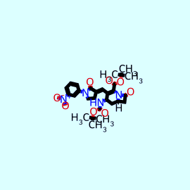 CC(C)(C)OC(=O)NC1C[C@@H]2CC(=O)N2C(C(=O)OC(C)(C)C)=C1/C=C1\CCN(c2cccc([N+](=O)[O-])c2)C1=O